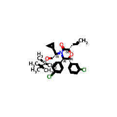 C=CC[C@@H]1O[C@H](c2cccc(Cl)c2)[C@@H](c2ccc(Cl)cc2)N([C@H](CO[Si](C)(C)C(C)(C)C)C2CC2)C1=O